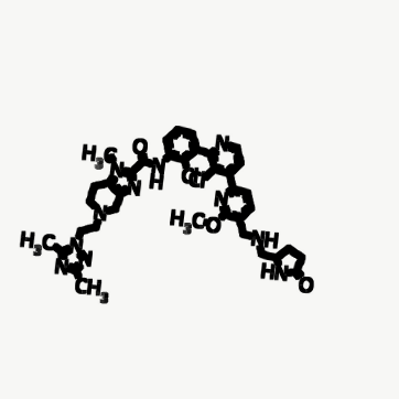 COc1nc(-c2ccnc(-c3cccc(NC(=O)c4nc5c(n4C)CCN(CCn4nc(C)nc4C)C5)c3Cl)c2Cl)ccc1CNCC1CCC(=O)N1